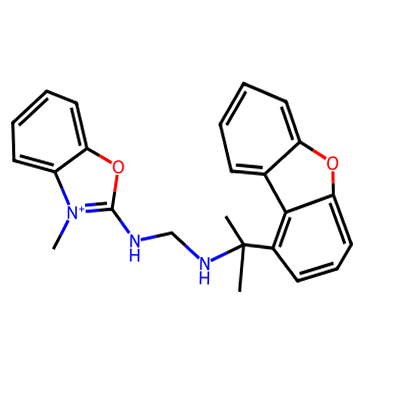 C[n+]1c(NCNC(C)(C)c2cccc3oc4ccccc4c23)oc2ccccc21